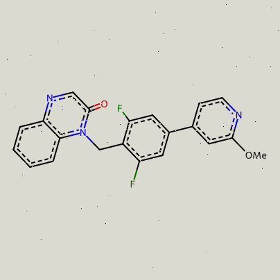 COc1cc(-c2cc(F)c(Cn3c(=O)cnc4ccccc43)c(F)c2)ccn1